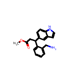 COC(=O)CC(c1ccc2[nH]ccc2c1)c1ccccc1CN